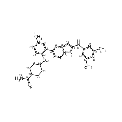 Cc1cc(-c2ccn3nc(Nc4cc(C)nc(C)n4)cc3c2)c(OC2CCC(C(N)=O)CC2)cn1